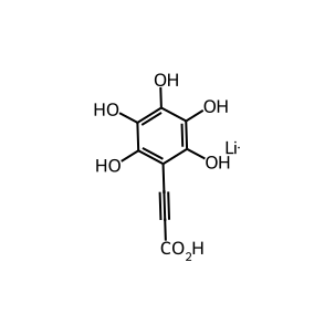 O=C(O)C#Cc1c(O)c(O)c(O)c(O)c1O.[Li]